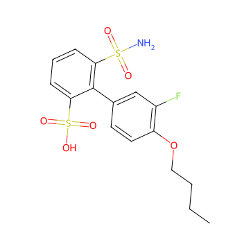 CCCCOc1ccc(-c2c(S(N)(=O)=O)cccc2S(=O)(=O)O)cc1F